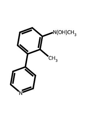 Cc1c(-c2ccncc2)cccc1N(C)O